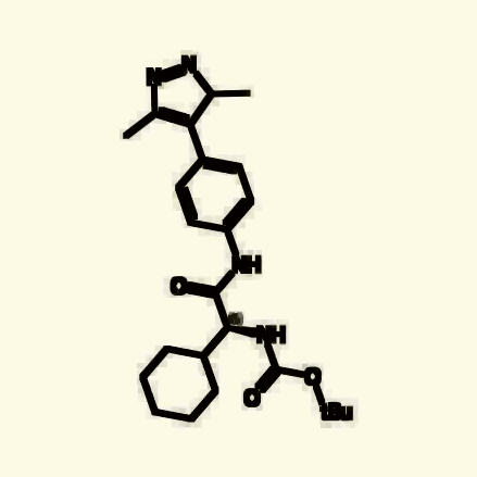 CC1=C(c2ccc(NC(=O)[C@@H](NC(=O)OC(C)(C)C)C3CCCCC3)cc2)C(C)N=N1